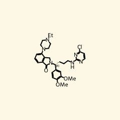 CCN1CCN(c2cccc3c2CN([C@H](CCCNc2nccc(Cl)n2)c2ccc(OC)c(OC)c2)C3=O)CC1